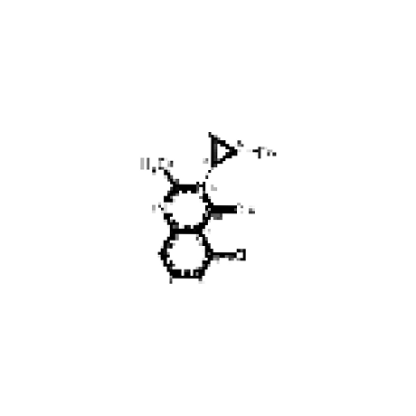 Cc1nc2cccc(Cl)c2c(=O)n1[C@@H]1C[C@@H]1F